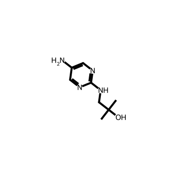 CC(C)(O)CNc1ncc(N)cn1